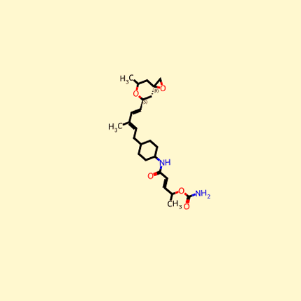 CC(C=C[C@@H]1C[C@@]2(CO2)CC(C)O1)=CCC1CCC(NC(=O)C=CC(C)OC(N)=O)CC1